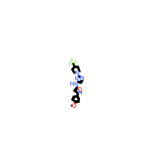 COc1ccc(-c2cc(Nc3ccnc(N4CCC(C(F)(F)F)CC4)n3)on2)cc1